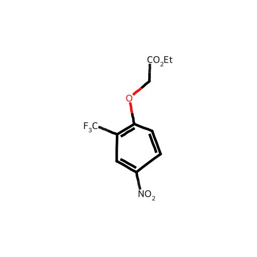 CCOC(=O)COc1ccc([N+](=O)[O-])cc1C(F)(F)F